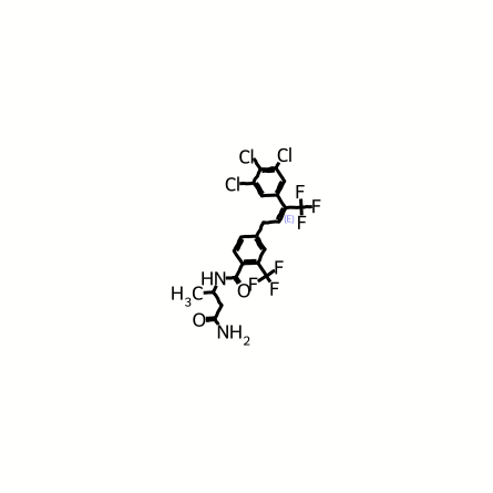 CC(CC(N)=O)NC(=O)c1ccc(C/C=C(\c2cc(Cl)c(Cl)c(Cl)c2)C(F)(F)F)cc1C(F)(F)F